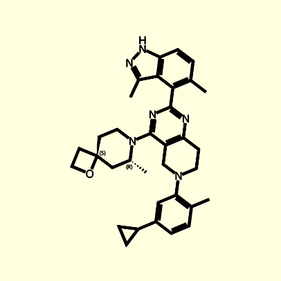 Cc1ccc(C2CC2)cc1N1CCc2nc(-c3c(C)ccc4[nH]nc(C)c34)nc(N3CC[C@@]4(CCO4)C[C@H]3C)c2C1